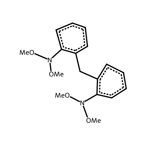 CON(OC)c1ccccc1Cc1ccccc1N(OC)OC